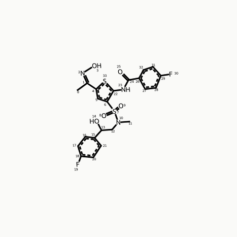 C/C(=N/O)c1cc(S(=O)(=O)N(C)CC(O)c2ccc(F)cc2)c(NC(=O)c2ccc(F)cc2)s1